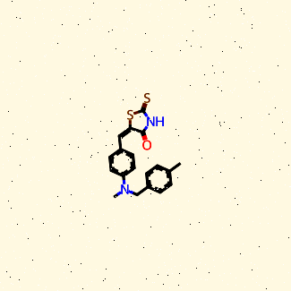 Cc1ccc(CN(C)c2ccc(C=C3SC(=S)NC3=O)cc2)cc1